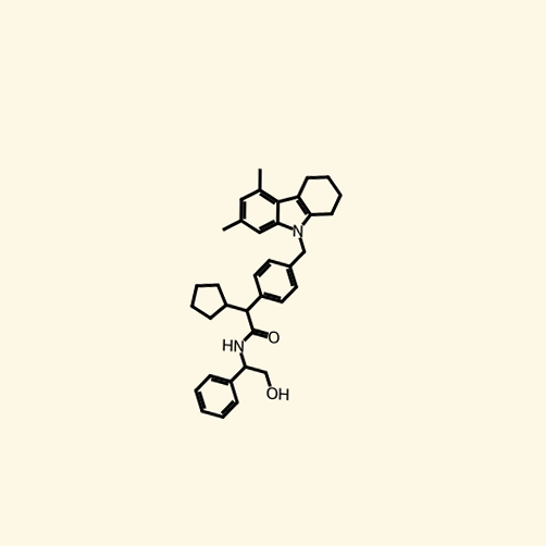 Cc1cc(C)c2c3c(n(Cc4ccc(C(C(=O)NC(CO)c5ccccc5)C5CCCC5)cc4)c2c1)CCCC3